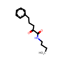 O=C(O)CCCNC(=O)C(=O)CCCc1ccccc1